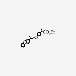 CCOC(=O)C(C)c1ccc(OC/C=C(\C)c2ccc3c(c2)Cc2ccccc2-3)cc1